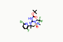 CN=S1(=O)CC(C)(c2nc(Br)ccc2F)N=C(NC(=O)OC(C)(C)C)N1CC(F)(F)F